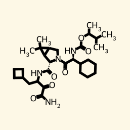 CC(C)C(C)OC(=O)N[C@H](C(=O)N1CC2C([C@H]1C(=O)NC(CC1CCC1)C(=O)C(N)=O)C2(C)C)C1CCCCC1